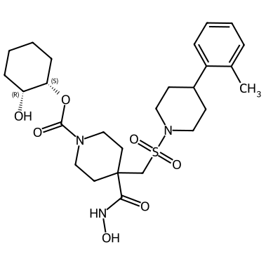 Cc1ccccc1C1CCN(S(=O)(=O)CC2(C(=O)NO)CCN(C(=O)O[C@H]3CCCC[C@H]3O)CC2)CC1